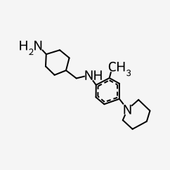 Cc1cc(N2CCCCC2)ccc1NCC1CCC(N)CC1